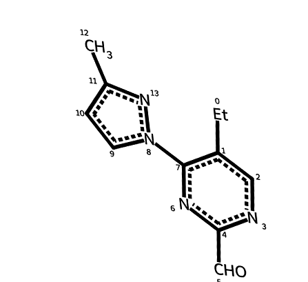 CCc1cnc(C=O)nc1-n1ccc(C)n1